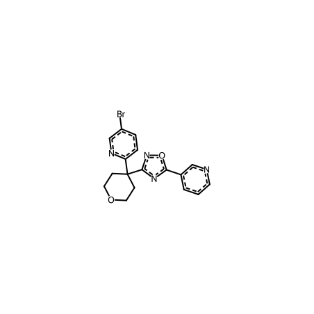 Brc1ccc(C2(c3noc(-c4cccnc4)n3)CCOCC2)nc1